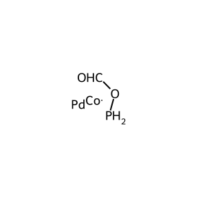 O=COP.[Co].[Pd]